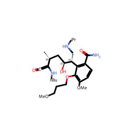 CCCCNC(=C=O)[C@H](C)C[C@H](O)[C@H](CNC(C)C)c1c(C(N)=O)ccc(OC)c1OCCCOC